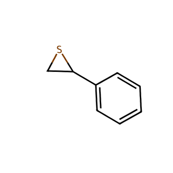 c1ccc(C2CS2)cc1